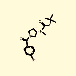 CN(C(=O)OC(C)(C)C)[C@H]1CCN(C(=O)c2ccc(Br)cc2)C1